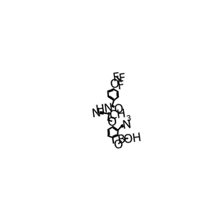 CC(C#N)(COc1ccc2c(c1C#N)B(O)OC2)NC(=O)c1ccc(OC(F)(F)F)cc1